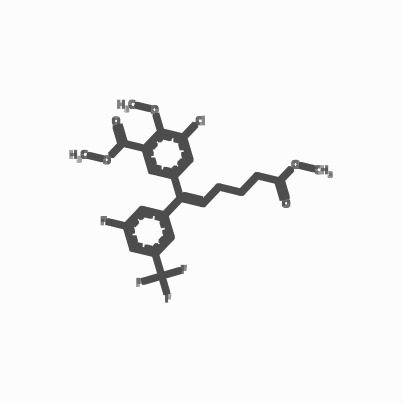 COC(=O)CCC/C=C(/c1cc(F)cc(C(F)(F)F)c1)c1cc(Cl)c(OC)c(C(=O)OC)c1